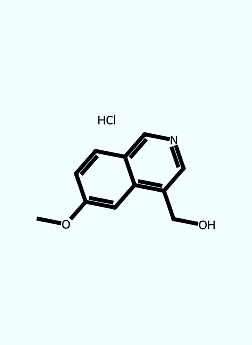 COc1ccc2cncc(CO)c2c1.Cl